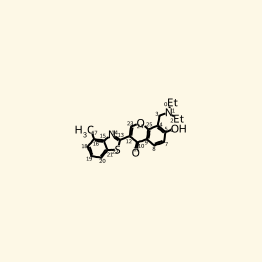 CCN(CC)Cc1c(O)ccc2c(=O)c(-c3nc4c(C)cccc4s3)coc12